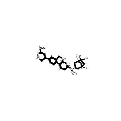 COc1cc(-c2ccc3c(c2)COc2nc(N(C)[C@H]4C[C@@H]5CC(F)(F)[C@H](C4)N5)ccc2-3)cnn1